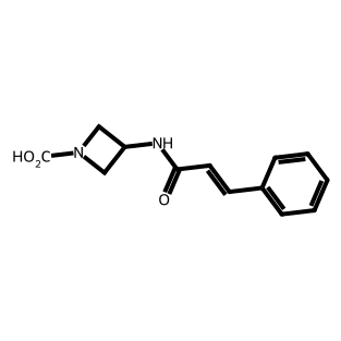 O=C(C=Cc1ccccc1)NC1CN(C(=O)O)C1